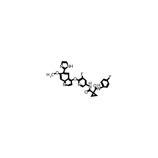 COc1cc2nccc(Oc3ncc(NC(=O)C4(C(=O)Nc5ccc(F)cc5)CC4)cc3F)c2cc1-c1ncc[nH]1